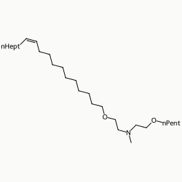 CCCCCCC/C=C\CCCCCCCCCCOCCN(C)CCOCCCCC